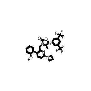 COc1ccccc1-c1ccc(N2CCC2)nc1CN1C(=O)O[C@H](c2cc(C(F)(F)F)cc(C(F)(F)F)c2)C1C